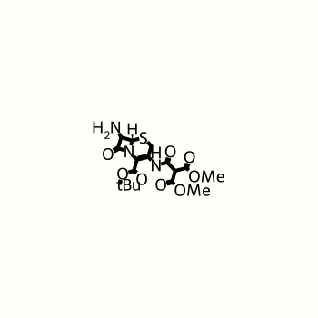 COC(=O)C(C(=O)NC1=C(C(=O)OC(C)(C)C)N2C(=O)C(N)[C@H]2SC1)C(=O)OC